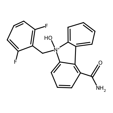 NC(=O)c1cccc2c1-c1ccccc1[N+]2(O)Cc1c(F)cccc1F